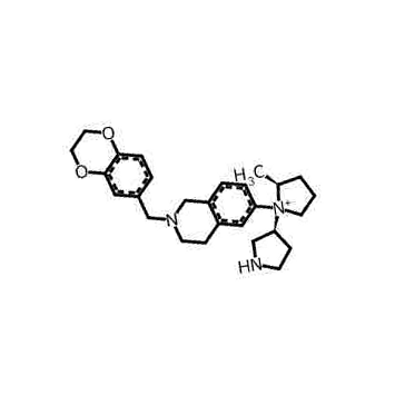 C[C@H]1CCC[N+]1(c1ccc2c(c1)CCN(Cc1ccc3c(c1)OCCO3)C2)[C@H]1CCNC1